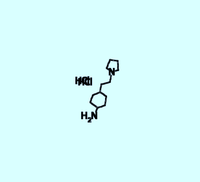 Cl.Cl.NC1CCC(CCN2CCCC2)CC1